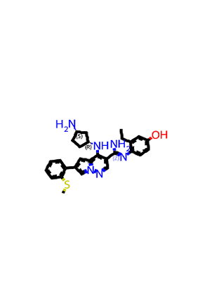 CCc1cc(O)ccc1/N=C(\N)c1cnn2cc(-c3ccccc3SC)cc2c1N[C@@H]1CC[C@H](N)C1